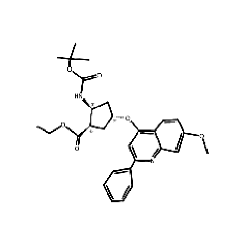 CCOC(=O)[C@@H]1C[C@@H](Oc2cc(-c3ccccc3)nc3cc(OC)ccc23)C[C@@H]1NC(=O)OC(C)(C)C